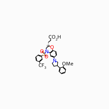 COc1ccccc1C1CCN(c2ccc3c(c2)N(S(=O)(=O)c2cccc(C(F)(F)F)c2)C[C@H](CCC(=O)O)O3)C1